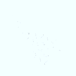 N[C@@H]1CCN(c2c(F)cc3c(=O)c(C(=O)NCCCN4CCOCC4)cn4c3c2Oc2c-4ccc3ccccc23)C1